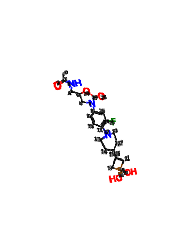 CC(=O)NCC1CN(c2ccc(N3CCC(C4CS(O)(O)C4)CC3)c(F)c2)C(=O)O1